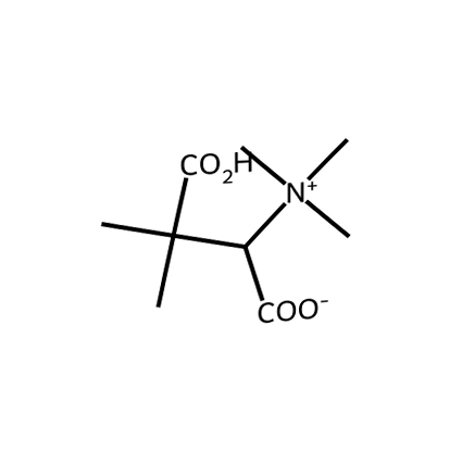 CC(C)(C(=O)O)C(C(=O)[O-])[N+](C)(C)C